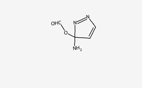 NC1(OC=O)C=CN=N1